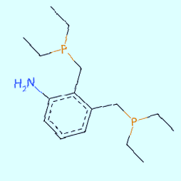 CCP(CC)Cc1cccc(N)c1CP(CC)CC